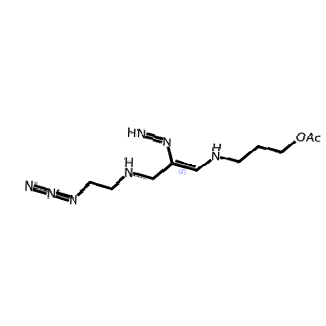 CC(=O)OCCCN/C=C(/CNCCN=[N+]=[N-])N=N